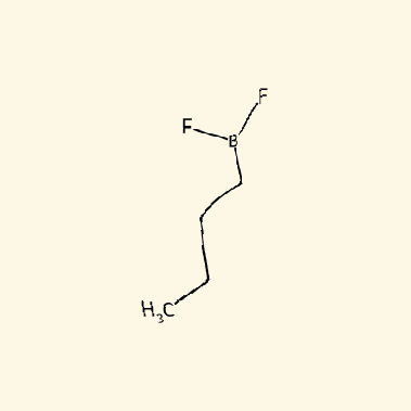 CCCCB(F)F